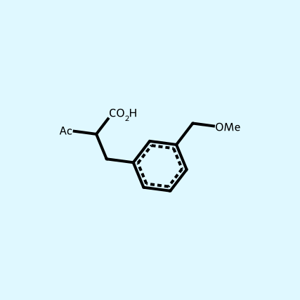 COCc1cccc(CC(C(C)=O)C(=O)O)c1